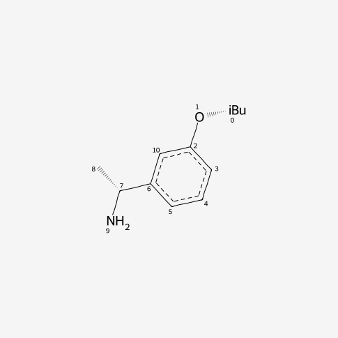 CC[C@@H](C)Oc1cccc([C@@H](C)N)c1